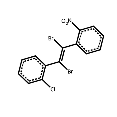 O=[N+]([O-])c1ccccc1C(Br)=C(Br)c1ccccc1Cl